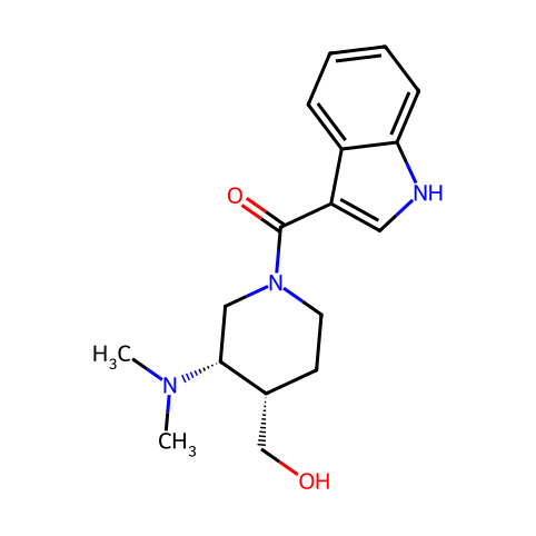 CN(C)[C@@H]1CN(C(=O)c2c[nH]c3ccccc23)CC[C@@H]1CO